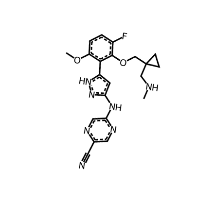 CNCC1(COc2c(F)ccc(OC)c2-c2cc(Nc3cnc(C#N)cn3)n[nH]2)CC1